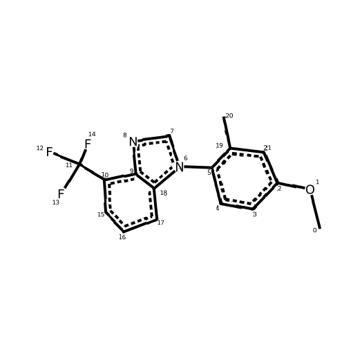 COc1ccc(-n2cnc3c(C(F)(F)F)cccc32)c(C)c1